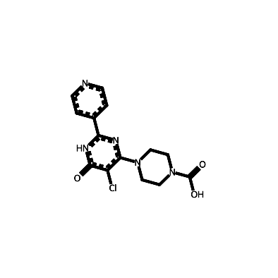 O=C(O)N1CCN(c2nc(-c3ccncc3)[nH]c(=O)c2Cl)CC1